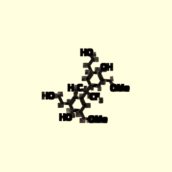 COCc1cc(C(C)(c2cc(CCO)c(O)c(COC)c2)C(F)(F)F)cc(CCO)c1O